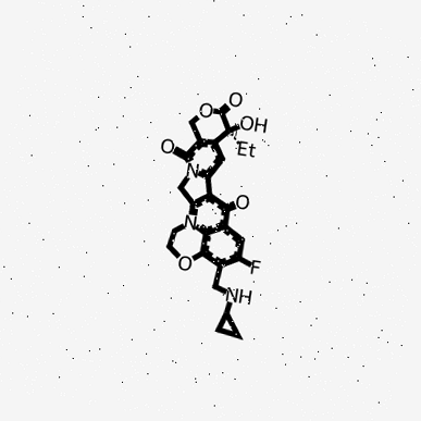 CC[C@@]1(O)C(=O)OCc2c1cc1n(c2=O)Cc2c-1c(=O)c1cc(F)c(CNC3CC3)c3c1n2CCO3